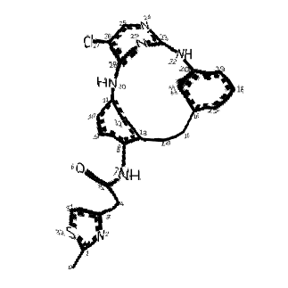 Cc1nc(CC(=O)Nc2ccc3cc2CCc2cccc(c2)Nc2ncc(Cl)c(n2)N3)cs1